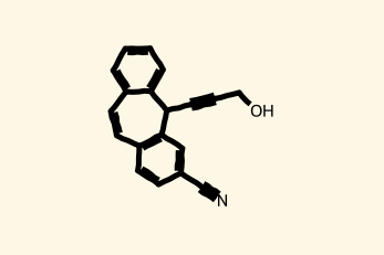 N#Cc1ccc2c(c1)C(C#CCO)c1ccccc1C=C2